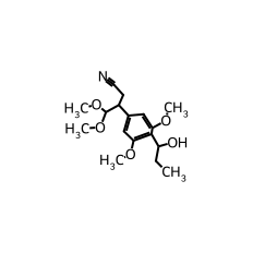 CCC(O)c1c(OC)cc(C(CC#N)C(OC)OC)cc1OC